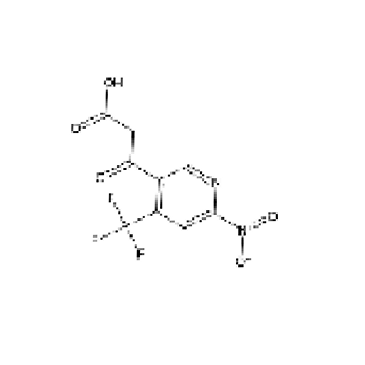 O=C(O)CC(=O)c1cnc([N+](=O)[O-])cc1C(F)(F)F